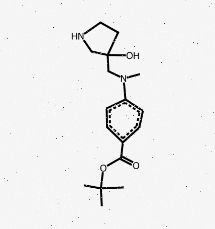 CN(CC1(O)CCNC1)c1ccc(C(=O)OC(C)(C)C)cc1